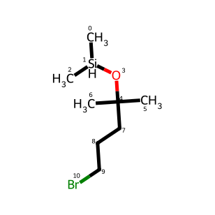 C[SiH](C)OC(C)(C)CCCBr